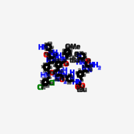 CC(C)(C)OC(=O)NCc1cccc(-c2cnc(N)c(C(=O)N[C@H]3CCCN(C(=O)O)C3C(C)(C)C)n2)c1.COc1ccc(CNC(=O)c2cccc(-c3cnc(N)c(C(=O)N[C@H]4CCCNC4)n3)c2)cc1.Nc1ncc(-c2cccc(C(=O)NCc3ccc(Cl)cc3Cl)c2)nc1C(=O)N[C@H]1CCCNC1